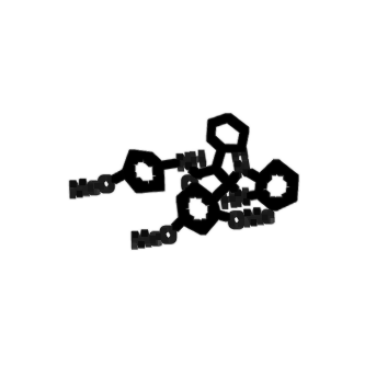 COc1ccc(NC(=O)C(C2CCCCC2)C2(c3ccc(OC)cc3OC)Nc3ccccc3N2)cc1